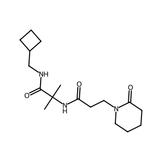 CC(C)(NC(=O)CCN1CCCCC1=O)C(=O)NCC1CCC1